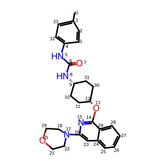 Cc1ccc(NC(=O)N[C@H]2CC[C@@H](Oc3nc(N4CCOCC4)cc4ccccc34)CC2)cc1